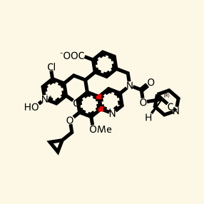 COc1ccc(C(Cc2c(Cl)c[n+](O)cc2Cl)c2cc(CN(C(=O)O[C@H]3CN4CCC3CC4)c3cccnc3)ccc2C(=O)[O-])cc1OCC1CC1